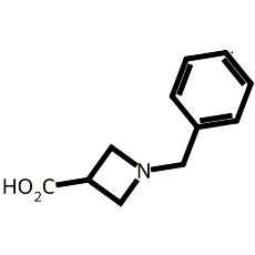 O=C(O)C1CN(Cc2cc[c]cc2)C1